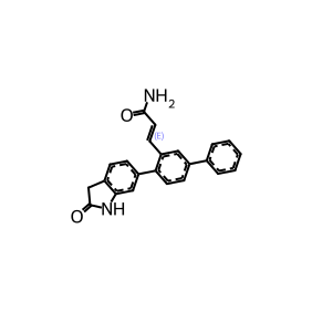 NC(=O)/C=C/c1cc(-c2ccccc2)ccc1-c1ccc2c(c1)NC(=O)C2